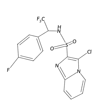 O=S(=O)(NC(c1ccc(F)cc1)C(F)(F)F)c1nc2ccccn2c1Cl